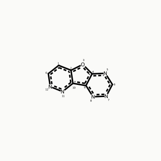 c1cc2oc3ncnnc3c2nn1